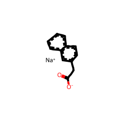 O=C([O-])Cc1ccc2ccccc2c1.[Na+]